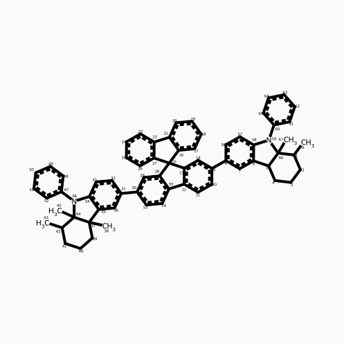 CC1CCCC2c3cc(-c4ccc5c(c4)C4(c6ccccc6-c6ccccc64)c4cc(-c6ccc7c(c6)C6(C)CCCC(C)C6(C)N7c6ccccc6)ccc4-5)ccc3N(c3ccccc3)C12C